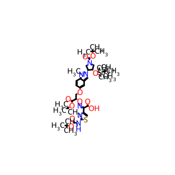 C[n+]1c2ccc(OCC(ON=C(C(=O)O)c3csc(NC(=O)OC(C)(C)C)n3)C(=O)OC(C)(C)C)cc2cn1[C@@H]1CN(C(=O)OC(C)(C)C)C[C@@H]1O[Si](C)(C)C(C)(C)C